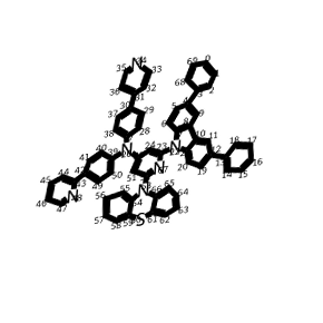 c1ccc(-c2ccc3c(c2)c2cc(-c4ccccc4)ccc2n3-c2cc(N(c3ccc(-c4ccncc4)cc3)c3ccc(-c4ccccn4)cc3)cc(N3c4ccccc4Sc4ccccc43)n2)cc1